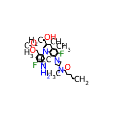 C=CCCC(=O)N(C)C1CN(c2c(C)c3c(c(C)c2F)C(=C)C(C(=C)O)=CN3c2cc(N)c(F)cc2COC(C)=O)C1